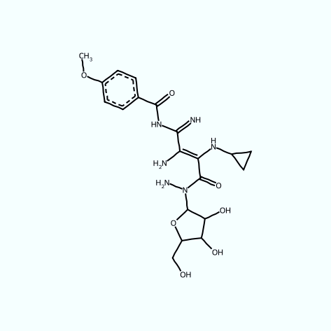 COc1ccc(C(=O)NC(=N)/C(N)=C(\NC2CC2)C(=O)N(N)C2OC(CO)C(O)C2O)cc1